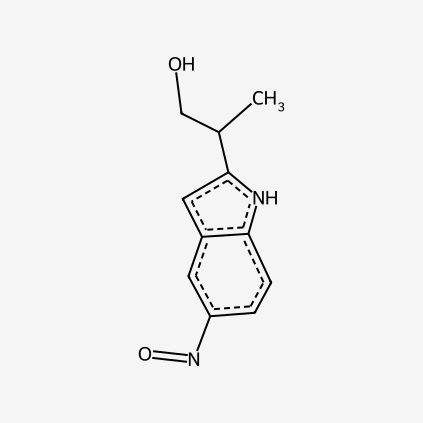 CC(CO)c1cc2cc(N=O)ccc2[nH]1